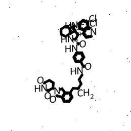 C=C(CCCNC(=O)c1ccc(NC(=O)[C@@H]2NC3(CCCCC3)[C@@]3(C(=O)Nc4cc(Cl)ccc43)[C@H]2c2ccnc(Cl)c2F)cc1)Cc1cccc2c1CN(C1CCC(=O)NC1=O)C2=O